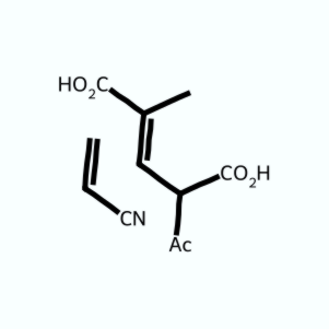 C=CC#N.CC(=O)C(C=C(C)C(=O)O)C(=O)O